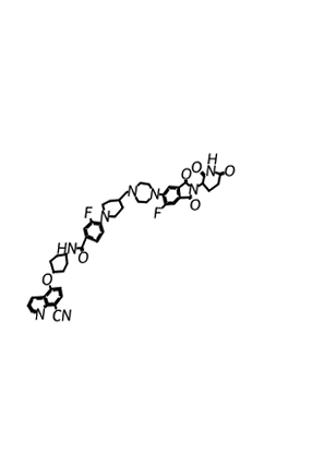 N#Cc1ccc(OC2CCC(NC(=O)c3ccc(N4CCC(CN5CCN(c6cc7c(cc6F)C(=O)N(C6CCC(=O)NC6=O)C7=O)CC5)CC4)c(F)c3)CC2)c2cccnc12